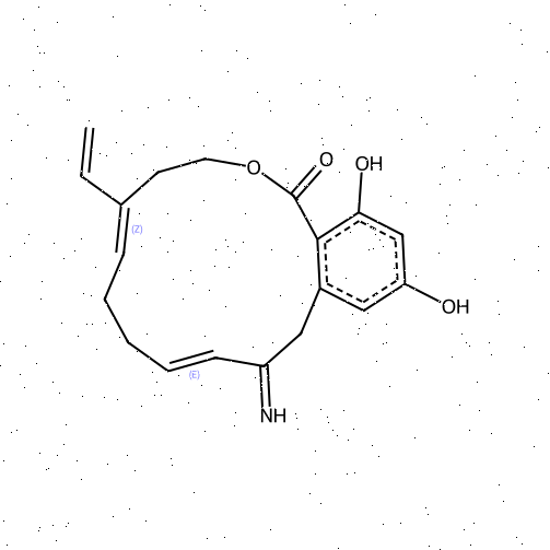 C=C/C1=C\CC/C=C/C(=N)Cc2cc(O)cc(O)c2C(=O)OCC1